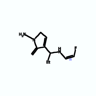 C=C1C(C(CC)N/C=C\F)=CCN1N